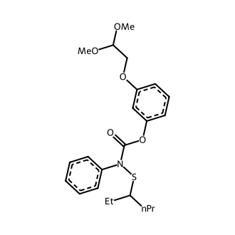 CCCC(CC)SN(C(=O)Oc1cccc(OCC(OC)OC)c1)c1ccccc1